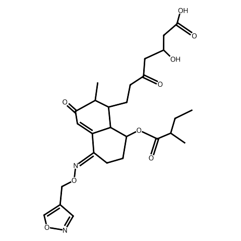 CCC(C)C(=O)OC1CCC(=NOCc2cnoc2)C2=CC(=O)C(C)C(CCC(=O)CC(O)CC(=O)O)C21